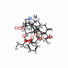 C=C1C[C@]23C[C@H]4[C@@H]5[C@@]6(C)CN4[C@@H]4[C@H]2C(OC(=O)c2ccccc2)[C@H]1[C@@H](OC(C)=O)[C@H]3[C@]54[C@H](OC(C)=O)[C@@H](OC(=O)C(C)CC)[C@H]6O